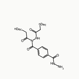 CCCCCCCCCCCC(=O)NN(C(=O)CCCCCCCCCCC)C(=O)c1ccc(C(=O)NN)cc1